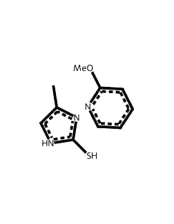 COc1ccccn1.Cc1c[nH]c(S)n1